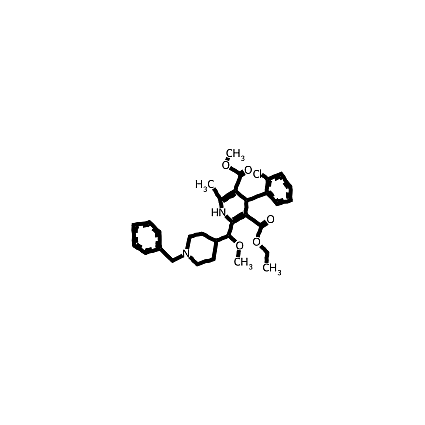 CCOC(=O)C1=C(C(OC)C2CCN(Cc3ccccc3)CC2)NC(C)=C(C(=O)OC)C1c1ccccc1Cl